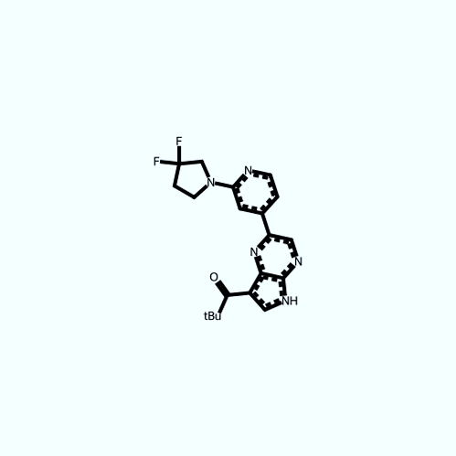 CC(C)(C)C(=O)c1c[nH]c2ncc(-c3ccnc(N4CCC(F)(F)C4)c3)nc12